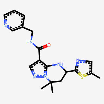 Cc1cnc(C2CC(C)(C)n3ncc(C(=O)NCc4cccnc4)c3N2)s1